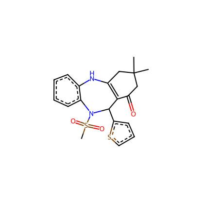 CC1(C)CC(=O)C2=C(C1)Nc1ccccc1N(S(C)(=O)=O)C2c1cccs1